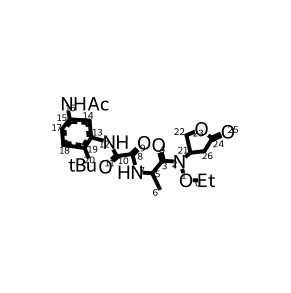 CCON(C(=O)C(C)NC(=O)C(=O)Nc1cc(NC(C)=O)ccc1C(C)(C)C)C1COC(=O)C1